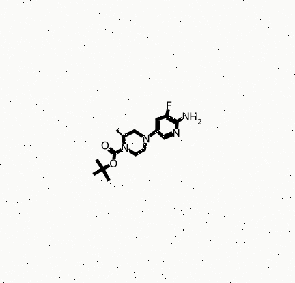 C[C@H]1CN(c2cnc(N)c(F)c2)CCN1C(=O)OC(C)(C)C